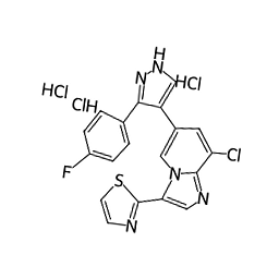 Cl.Cl.Cl.Fc1ccc(-c2n[nH]cc2-c2cc(Cl)c3ncc(-c4nccs4)n3c2)cc1